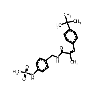 CC(=Cc1ccc(C(C)(C)C)cc1)C(=O)NCc1ccc(NS(C)(=O)=O)cc1